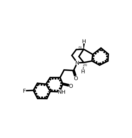 O=C(Cc1cc2cc(F)ccc2[nH]c1=O)N1CC[C@H]2C[C@H]1c1ccccc12